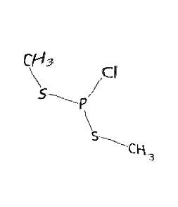 CSP(Cl)SC